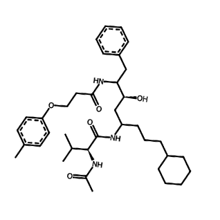 CC(=O)N[C@H](C(=O)NC(CCCC1CCCCC1)C[C@H](O)C(Cc1ccccc1)NC(=O)CCOc1ccc(C)cc1)C(C)C